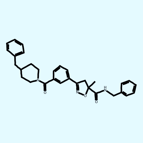 CC1(C(=O)NCc2ccccc2)CC(c2cccc(C(=O)N3CCC(Cc4ccccc4)CC3)c2)=NO1